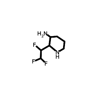 NC1CCCNC1C(F)C(F)F